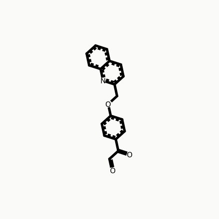 O=CC(=O)c1ccc(OCc2ccc3ccccc3n2)cc1